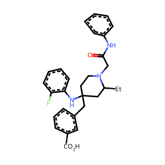 CCC1CC(Cc2cccc(C(=O)O)c2)(Nc2ccccc2F)CCN1CC(=O)Nc1ccccc1